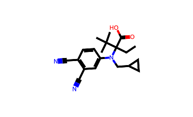 CCC(C(=O)O)(N(CC1CC1)c1ccc(C#N)c(C#N)c1)C(C)(C)C